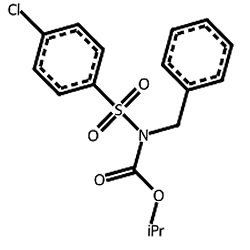 CC(C)OC(=O)N(Cc1ccccc1)S(=O)(=O)c1ccc(Cl)cc1